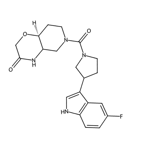 O=C1CO[C@H]2CCN(C(=O)N3CCC(c4c[nH]c5ccc(F)cc45)C3)CC2N1